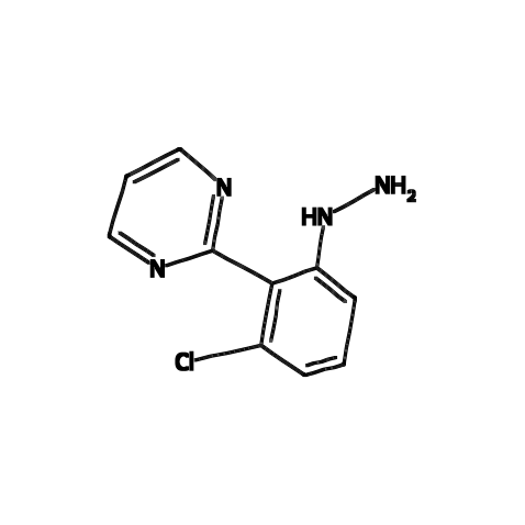 NNc1cccc(Cl)c1-c1ncccn1